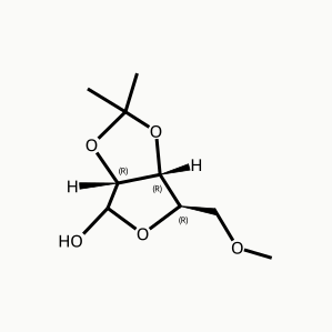 COC[C@H]1OC(O)[C@@H]2OC(C)(C)O[C@H]12